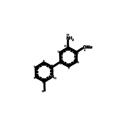 COc1ccc(-c2cccc(C)n2)cc1N